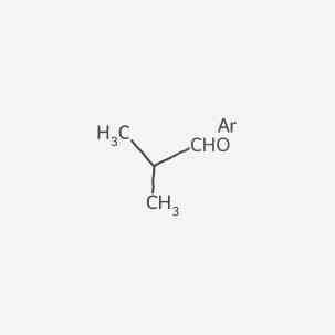 CC(C)C=O.[Ar]